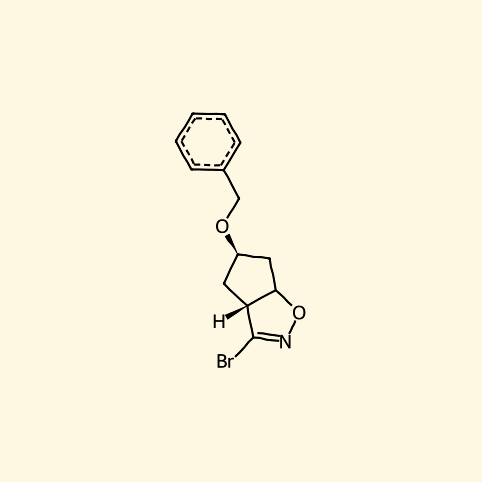 BrC1=NOC2C[C@H](OCc3ccccc3)C[C@@H]12